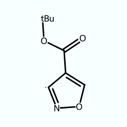 CC(C)(C)OC(=O)c1[c]noc1